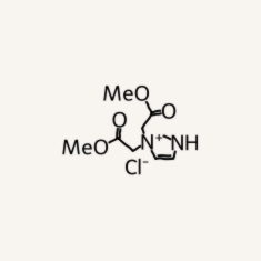 COC(=O)C[N+]1(CC(=O)OC)C=CNC1.[Cl-]